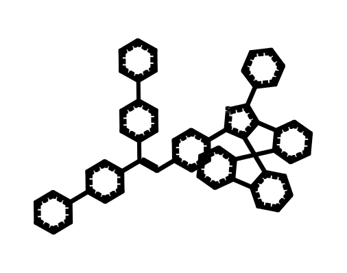 C(=C(c1ccc(-c2ccccc2)cc1)c1ccc(-c2ccccc2)cc1)c1ccc(-c2sc(-c3ccccc3)c3c2C2(c4ccccc4-c4ccccc42)c2ccccc2-3)cc1